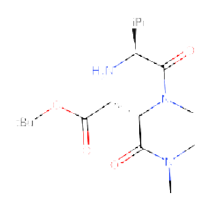 CC(C)[C@H](N)C(=O)N(C)[C@@H](CC(=O)OC(C)(C)C)C(=O)N(C)C